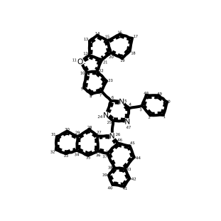 c1ccc(-c2nc(-c3ccc4oc5ccc6ccccc6c5c4c3)nc(-n3c4cc5ccccc5cc4c4c5ccccc5ccc43)n2)cc1